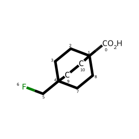 O=C(O)C12CCC(CF)(CC1)CC2